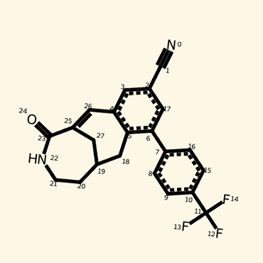 N#Cc1cc2c(c(-c3ccc(C(F)(F)F)cc3)c1)CC1CCNC(=O)C(=C2)C1